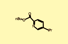 CCCCOC(=O)c1ccc(C(C)C)cn1